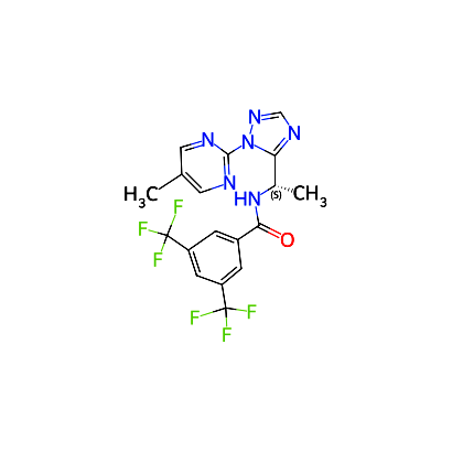 Cc1cnc(-n2ncnc2[C@H](C)NC(=O)c2cc(C(F)(F)F)cc(C(F)(F)F)c2)nc1